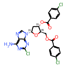 Nc1nc(Cl)nc2c1ncn2[C@@H]1C[C@H](OC(=O)c2ccc(Cl)cc2)[C@@H](COC(=O)c2ccc(Cl)cc2)O1